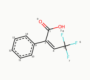 O=C(O)C(=CC(F)(F)F)c1ccccc1